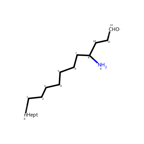 CCCCCCCCCCCCCCC(N)CC[C]=O